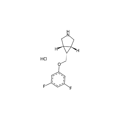 Cl.Fc1cc(F)cc(OC[C@@H]2[C@@H]3CNC[C@@H]32)c1